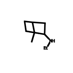 CCNC1CC2CCC21C